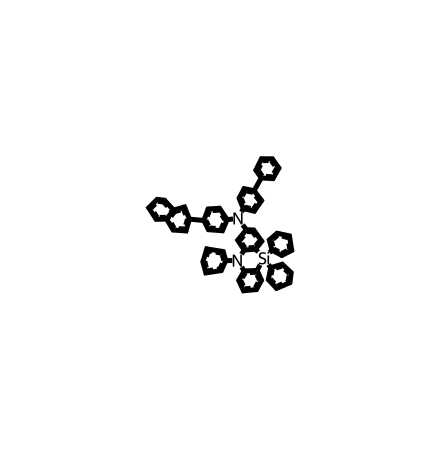 c1ccc(-c2ccc(N(c3ccc(-c4ccc5ccccc5c4)cc3)c3ccc4c(c3)N(c3ccccc3)c3ccccc3[Si]4(c3ccccc3)c3ccccc3)cc2)cc1